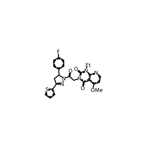 CCn1c(=O)n(CC(=O)N2N=C(c3cccs3)CC2c2ccc(F)cc2)c(=O)c2c(OC)ccnc21